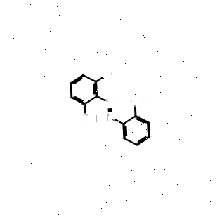 Oc1ccccc1N=Nc1c(O)cccc1O